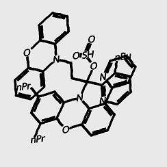 CCCCc1cccnc1C(CCN1c2ccccc2Oc2ccccc21)(O[SH](=O)=O)N1c2cc(CCC)cc(CCC)c2Oc2cccc(-c3ccccn3)c21